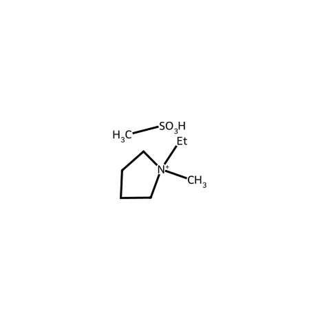 CC[N+]1(C)CCCC1.CS(=O)(=O)O